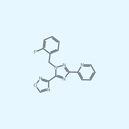 Fc1ccccc1Cn1nc(-c2ccccn2)nc1-c1ncon1